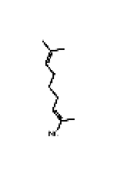 CC(C)=CCCCC=C(C)C#N